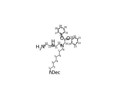 CCCCCCCCCCCCCCCCCCN(CCNCCN)CC(Oc1ccccc1)Oc1ccccc1